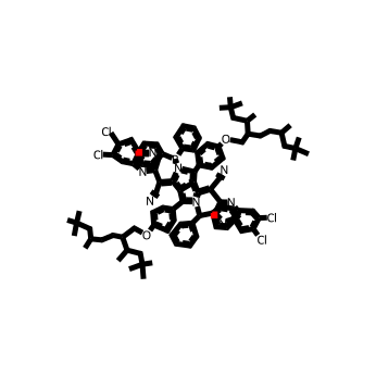 CC(CCC(COc1ccc(-c2c3/c(=C(\C#N)c4cnc5cc(Cl)c(Cl)cc5n4)n(C(c4ccccc4)c4ccccc4)c(-c4ccc(OCC(CCC(C)CC(C)(C)C)C(C)CC(C)(C)C)cc4)c3/c(=C(\C#N)c3cnc4cc(Cl)c(Cl)cc4n3)n2B(c2ccccc2)c2ccccc2)cc1)C(C)CC(C)(C)C)CC(C)(C)C